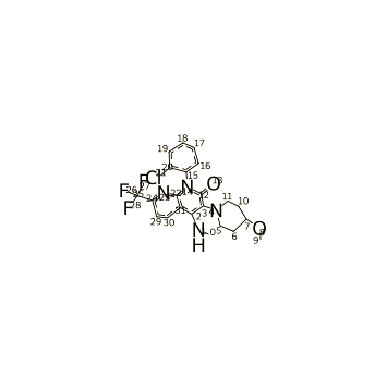 CNc1c(N2CCC(OC)CC2)c(=O)n(-c2ccccc2Cl)c2nc(C(F)(F)F)ccc12